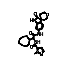 Cn1nccc1C(=O)N[C@H](C(=O)Nc1ccc2c(c1)NC(=O)C21CCOCC1)C1CCCCCCC1